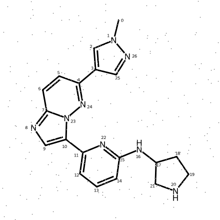 Cn1cc(-c2ccc3ncc(-c4cccc(NC5CCNC5)n4)n3n2)cn1